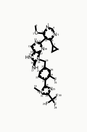 COc1ncnc(C2CC2)c1-c1ncc2[nH]c(=N)n(Cc3ccc(-c4nc(C(F)(F)F)cn4C)c(F)c3)c2n1